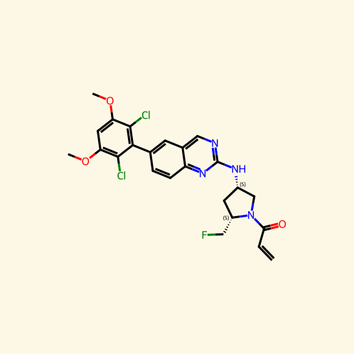 C=CC(=O)N1C[C@@H](Nc2ncc3cc(-c4c(Cl)c(OC)cc(OC)c4Cl)ccc3n2)C[C@H]1CF